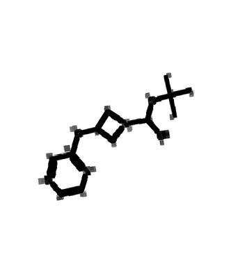 CC(C)(C)OC(O)N1CC(Oc2cnccn2)C1